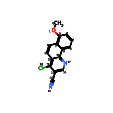 COc1cccc2c1ccc1c(Cl)c(C#N)cnc12